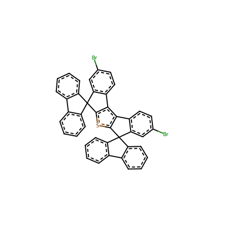 Brc1ccc2c(c1)C1(c3ccccc3-c3ccccc31)c1sc3c(c1-2)-c1ccc(Br)cc1C31c2ccccc2-c2ccccc21